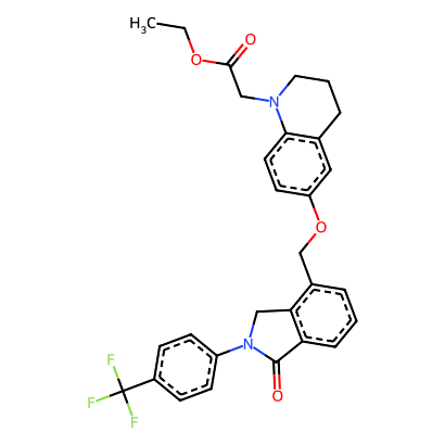 CCOC(=O)CN1CCCc2cc(OCc3cccc4c3CN(c3ccc(C(F)(F)F)cc3)C4=O)ccc21